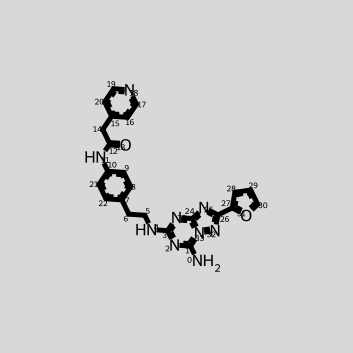 Nc1nc(NCCc2ccc(NC(=O)Cc3ccncc3)cc2)nc2nc(-c3ccco3)nn12